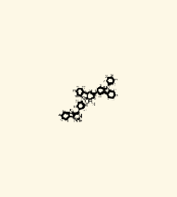 CC12C=CC(c3ccc4c(c3)c3ccccc3n4-c3ccccc3)=CC1c1ccccc1N2c1ccc(-c2ncnc3c2sc2ccccc23)cc1